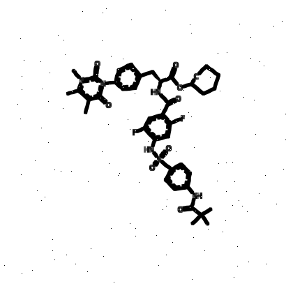 Cc1c(C)n(C)c(=O)n(-c2ccc(C[C@H](NC(=O)c3cc(F)c(NS(=O)(=O)c4ccc(NC(=O)C(C)(C)C)cc4)cc3F)C(=O)OC3CCCCC3)cc2)c1=O